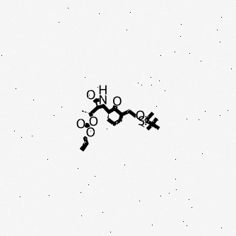 C=CCOC(=O)O[C@H](C)[C@H]1C(=O)N[C@@H]1[C@H]1CCCC(CCO[Si](C)(C)C(C)(C)C)C1=O